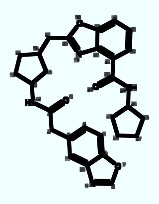 O=C(Cc1ccc2ocnc2c1)NC1CCC(Cc2nc3c(C(=O)NC4CCCC4)cccc3o2)C1